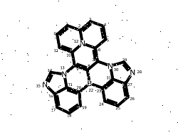 C1=CC2=CC=CC3=C4C5=C(C(=C1)N23)n1cnc2cccc(c21)B5c1cccc2ncn4c12